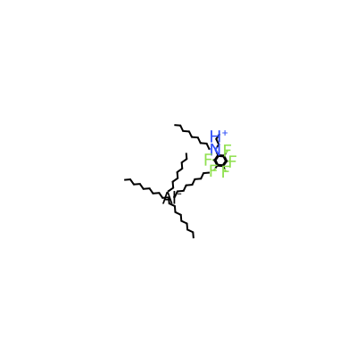 CCCCCCCCC[NH+](CCC)c1c(F)c(F)c(F)c(F)c1F.CCCCCCCC[CH2][Al-]([CH2]CCCCCCCC)([CH2]CCCCCCCC)[CH2]CCCCCCCC